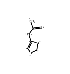 NC(=S)NC1=COCO1